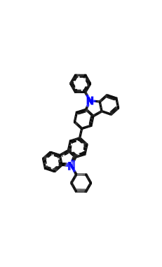 C1=CC2C3=CC(c4ccc5c(c4)c4ccccc4n5C4CC=CCC4)CC=C3N(c3ccccc3)C2C=C1